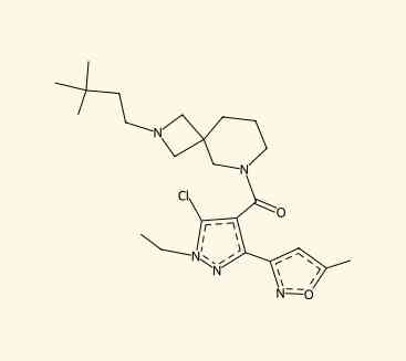 CCn1nc(-c2cc(C)on2)c(C(=O)N2CCCC3(CN(CCC(C)(C)C)C3)C2)c1Cl